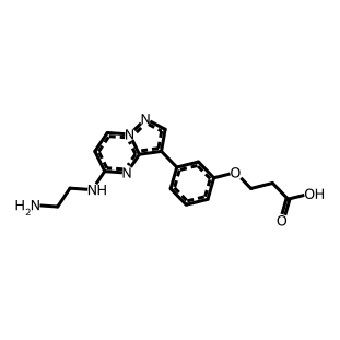 NCCNc1ccn2ncc(-c3cccc(OCCC(=O)O)c3)c2n1